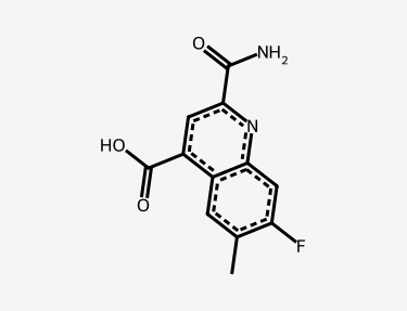 Cc1cc2c(C(=O)O)cc(C(N)=O)nc2cc1F